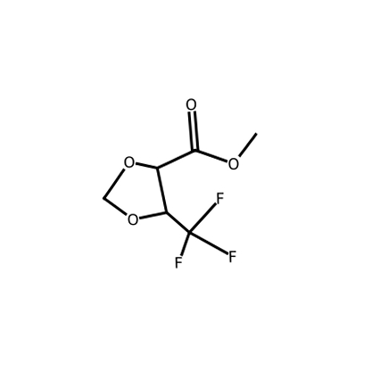 COC(=O)C1OCOC1C(F)(F)F